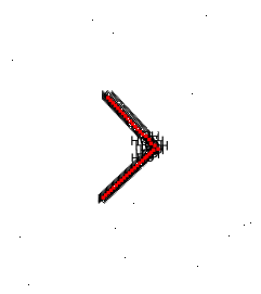 O=S(O)O.O=S(O)O.O=S(O)O.O=S(O)O.O=S(O)O.[K+].[K+].[K+].[K+].[K+].[K+].[K+].[K+].[K+].[K+].[K+].[K+].[K+].[K+].[K+].[K+].[K+].[K+].[K+].[K+].[K+].[K+].[K+].[K+].[K+].[K+].[K+].[K+].[K+].[K+].[K+].[K+].[K+].[K+].[K+].[K+].[K+].[K+].[K+].[K+].[K+].[K+].[K+].[K+].[K+].[K+].[K+].[K+].[K+].[K+].[K+].[K+].[K+].[K+].[K+].[K+].[K+].[K+].[K+].[K+].[K+].[K+].[K+].[K+].[K+]